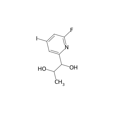 CC(O)C(O)c1cc(I)cc(F)n1